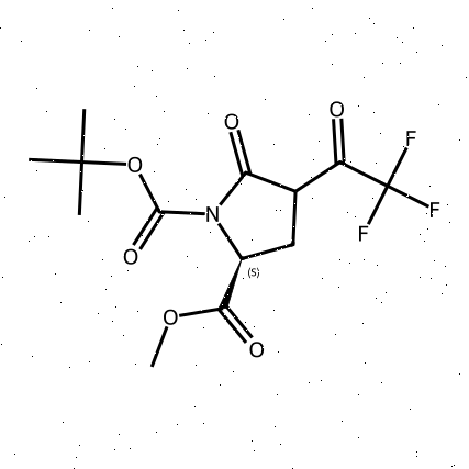 COC(=O)[C@@H]1CC(C(=O)C(F)(F)F)C(=O)N1C(=O)OC(C)(C)C